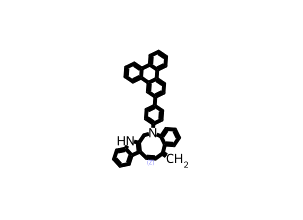 C=C1/C=C\c2c([nH]c3ccccc23)CN(c2ccc(-c3ccc4c5ccccc5c5ccccc5c4c3)cc2)c2ccccc21